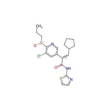 CCC[S+]([O-])c1ncc(/C(=C\C2CCCC2)C(=O)Nc2nccs2)cc1Cl